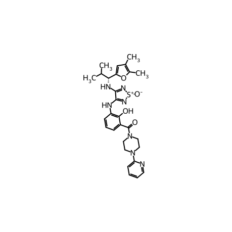 Cc1cc([C@H](Nc2n[s+]([O-])nc2Nc2cccc(C(=O)N3CCN(c4ccccn4)CC3)c2O)C(C)C)oc1C